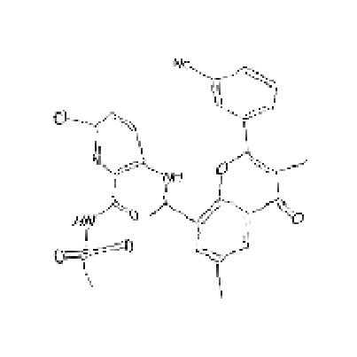 Cc1cc(C(C)Nc2ccc(Cl)nc2C(=O)NS(C)(=O)=O)c2oc(-c3cccc(C#N)c3)c(C)c(=O)c2c1